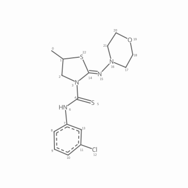 CC1CN(C(=S)Nc2cccc(Cl)c2)C(=NN2CCOCC2)S1